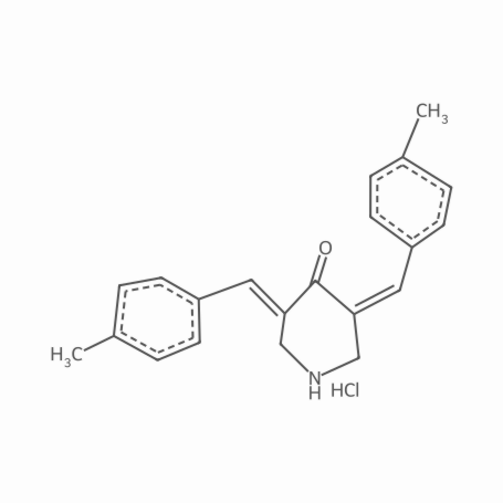 Cc1ccc(/C=C2/CNC/C(=C\c3ccc(C)cc3)C2=O)cc1.Cl